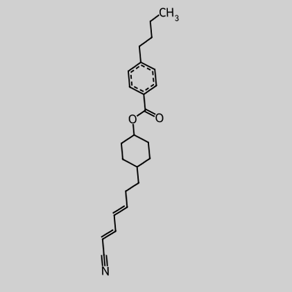 CCCCc1ccc(C(=O)OC2CCC(CCC=CC=CC#N)CC2)cc1